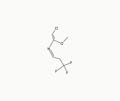 COC(=C\Cl)/N=C\CC(F)(F)F